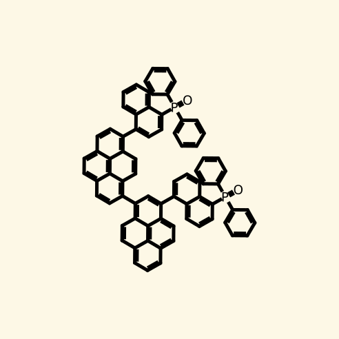 O=P(c1ccccc1)(c1ccccc1)c1ccc(-c2ccc3ccc4ccc(-c5cc(-c6cccc7c(P(=O)(c8ccccc8)c8ccccc8)cccc67)c6ccc7cccc8ccc5c6c78)c5ccc2c3c45)c2ccccc12